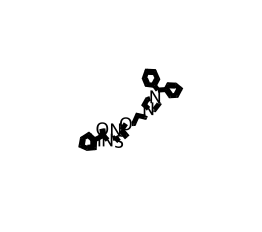 O=C(Nc1nc(OCCCN2CCN(C(c3ccccc3)c3ccccc3)CC2)cs1)c1ccccc1